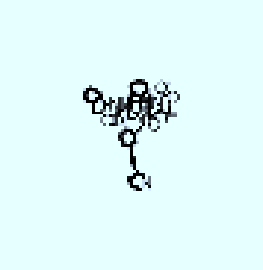 COC(=O)NC(C(=O)NN(Cc1cccc(C#Cc2cccnc2)c1)CC(O)(Cc1ccccc1)C(=O)NC1c2ccccc2CC1O)C(C)(C)C